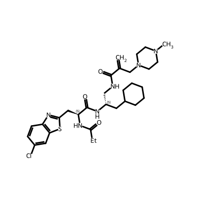 C=C(CN1CCN(C)CC1)C(=O)NC[C@H](CC1CCCCC1)NC(=O)[C@H](Cc1nc2ccc(Cl)cc2s1)NC(=O)CC